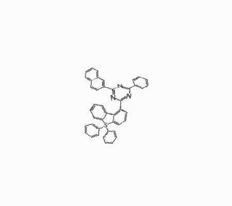 c1ccc(-c2nc(-c3ccc4ccccc4c3)nc(-c3cccc4c3-c3ccccc3S4(c3ccccc3)c3ccccc3)n2)cc1